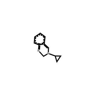 C1=c2ccccc2=NCN1C1CC1